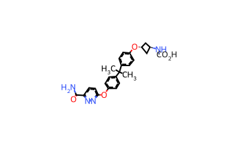 CC(C)(c1ccc(Oc2ccc(C(N)=O)nn2)cc1)c1ccc(O[C@H]2C[C@H](NC(=O)O)C2)cc1